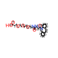 O=C(O)CCOCCOCCOCCNC(=O)CCC(=O)N1Cc2ccccc2/C=C\c2ccccc21